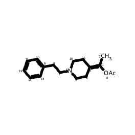 CC(=O)OC(C)=C1CCN(CCc2ccccc2)CC1